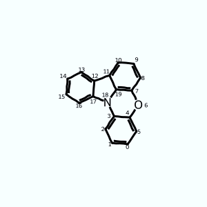 c1ccc2c(c1)Oc1cccc3c4ccccc4n-2c13